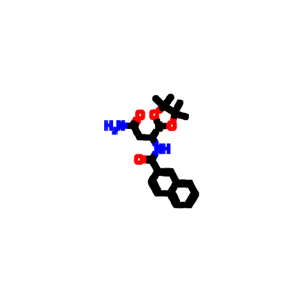 CC1(C)OB(C(CC(N)=O)NC(=O)c2ccc3ccccc3c2)OC1(C)C